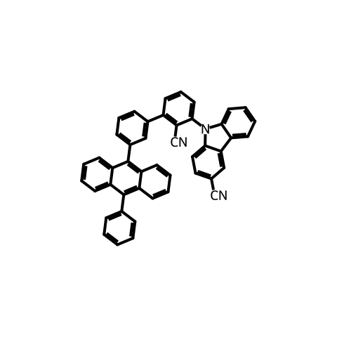 N#Cc1ccc2c(c1)c1ccccc1n2-c1cccc(-c2cccc(-c3c4ccccc4c(-c4ccccc4)c4ccccc34)c2)c1C#N